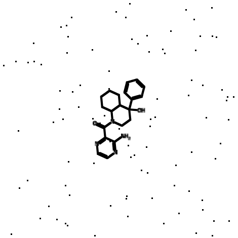 Nc1nccnc1C(=O)N1CCC(O)(c2ccccc2)C2CCCCC21